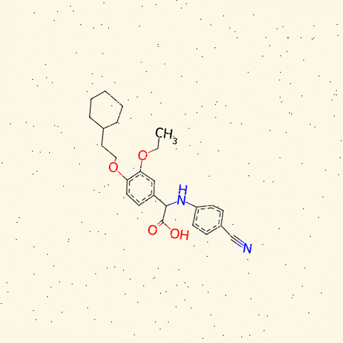 CCOc1cc(C(Nc2ccc(C#N)cc2)C(=O)O)ccc1OCCC1CCCCC1